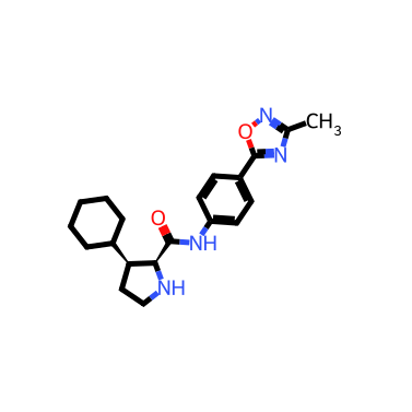 Cc1noc(-c2ccc(NC(=O)[C@H]3NCC[C@H]3C3CCCCC3)cc2)n1